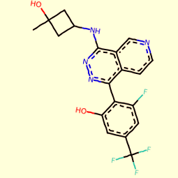 CC1(O)CC(Nc2nnc(-c3c(O)cc(C(F)(F)F)cc3F)c3ccncc23)C1